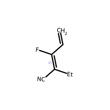 C=C/C(F)=C(/C#N)CC